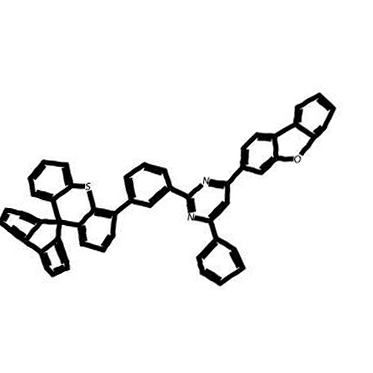 c1ccc(-c2cc(-c3ccc4c(c3)oc3ccccc34)nc(-c3cccc(-c4cccc5c4Sc4ccccc4C54c5ccccc5-c5ccccc54)c3)n2)cc1